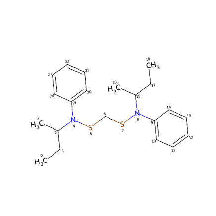 CCC(C)N(SCSN(c1ccccc1)C(C)CC)c1ccccc1